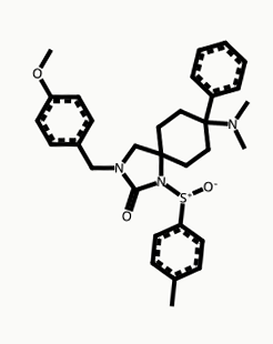 COc1ccc(CN2CC3(CCC(c4ccccc4)(N(C)C)CC3)N([S+]([O-])c3ccc(C)cc3)C2=O)cc1